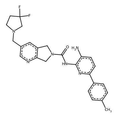 Cc1ccc(-c2ccc(N)c(NC(=O)N3Cc4cc(CN5CCC(F)(F)C5)cnc4C3)n2)cc1